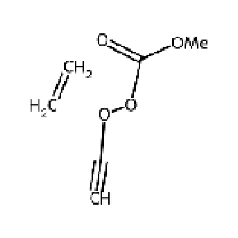 C#COOC(=O)OC.C=C